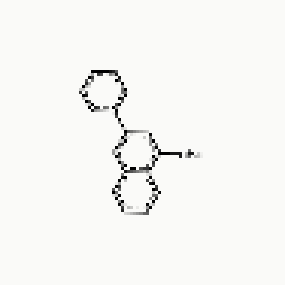 [CH2]CCCc1cc(-c2ccccc2)cc2ccccc12